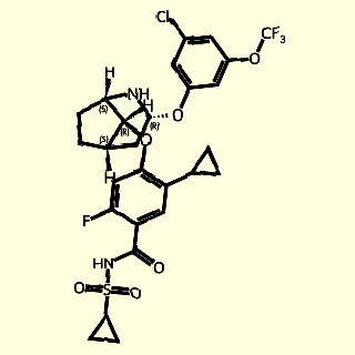 O=C(NS(=O)(=O)C1CC1)c1cc(C2CC2)c(O[C@@H]2[C@H]3CC[C@@H]2N[C@H](Oc2cc(Cl)cc(OC(F)(F)F)c2)C3)cc1F